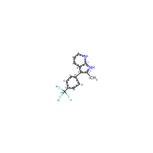 Cc1[nH]c2ncccc2c1-c1ccc(C(F)(F)F)cc1